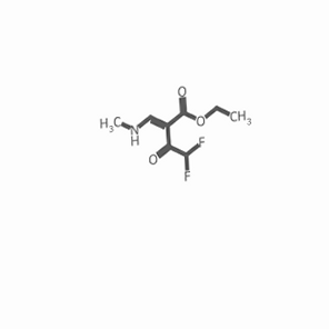 CCOC(=O)/C(=C/NC)C(=O)C(F)F